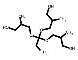 CCC(OCC(C)CO)(OCC(C)CO)OCC(C)CO